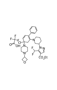 CCOC(=O)c1cnn(C2CCCN(C3=C(c4ccccc4)C=CC(Cl)(N4CCN(C5COC5)CC4)C3)C2)c1C(F)F.O=C(O)C(F)(F)F